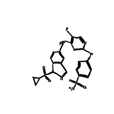 NS(=O)(=O)c1ccc(Nc2ncc(F)c(Nc3ccc4c(c3)CNC4S(=O)(=O)C3CC3)n2)cc1